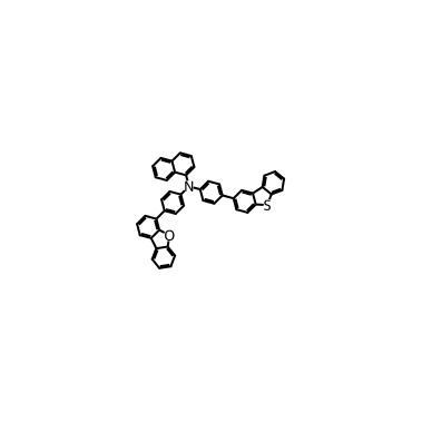 c1ccc2c(N(c3ccc(-c4ccc5sc6ccccc6c5c4)cc3)c3ccc(-c4cccc5c4oc4ccccc45)cc3)cccc2c1